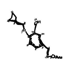 CON=Cc1ccc(OCC2CC2)c(O)c1